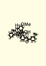 COc1cc(CO)cc(Nc2nc3ccccc3nc2NS(=O)(=O)c2cccc(NC(=O)c3cccc(N(C)C)c3)c2)c1